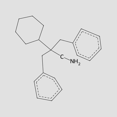 NCC(Cc1ccccc1)(Cc1ccccc1)C1CCCCC1